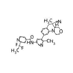 Cc1ncc(NC(=O)c2ccnc(C(C)(F)F)c2)cc1-c1ccc2c(c1)N1CCOC[C@H]1[C@](C)(C#N)C2